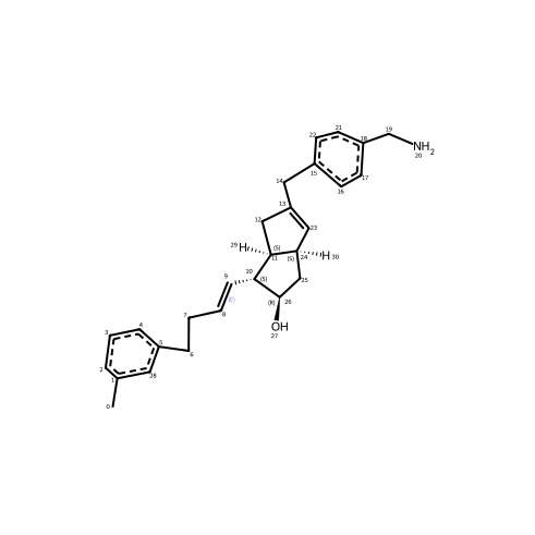 Cc1cccc(CC/C=C/[C@@H]2[C@H]3CC(Cc4ccc(CN)cc4)=C[C@H]3C[C@H]2O)c1